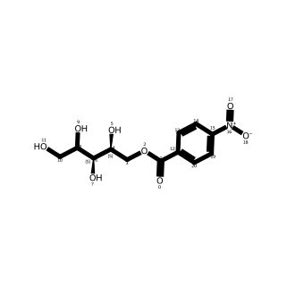 O=C(OC[C@H](O)[C@@H](O)C(O)CO)c1ccc([N+](=O)[O-])cc1